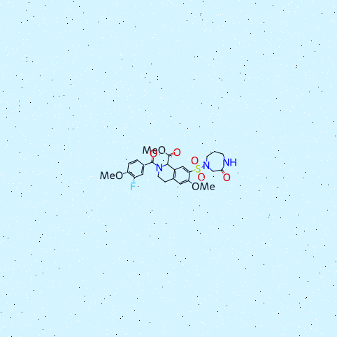 COC(=O)C1c2cc(S(=O)(=O)N3CCCNC(=O)C3)c(OC)cc2CCN1C(=O)c1ccc(OC)c(F)c1